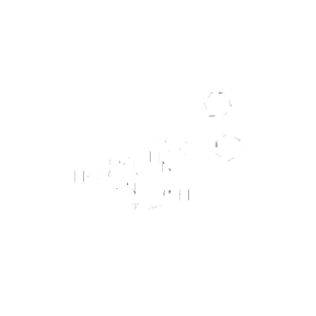 O=C(O)[C@@H]1CC[C@H]2/C=C\[C@H]3C[C@@H](C(=O)N21)N(C(=O)OCC1c2ccccc2-c2ccccc21)C3